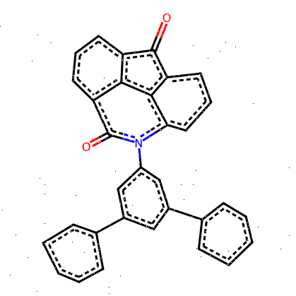 O=c1c2cccc3c(=O)n(-c4cc(-c5ccccc5)cc(-c5ccccc5)c4)c4cccc1c4c23